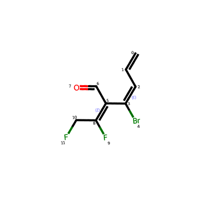 C=C/C=C(Br)\C(C=O)=C(/F)CF